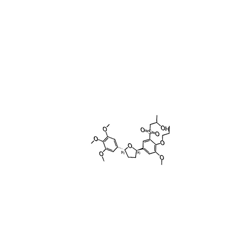 CCCOc1c(OC)cc([C@H]2CC[C@H](c3cc(OC)c(OC)c(OC)c3)O2)cc1S(=O)(=O)CC(C)O